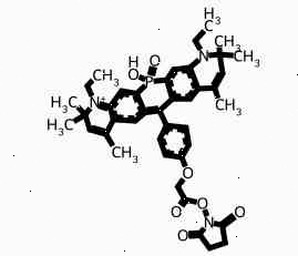 CCN1c2cc3c(cc2C(C)=CC1(C)C)C(c1ccc(OCC(=O)ON2C(=O)CCC2=O)cc1)=c1cc2c(cc1P3(=O)O)=[N+](CC)C(C)(C)C=C2C